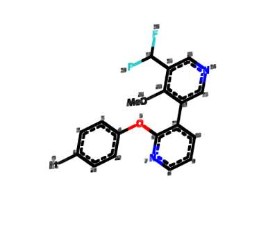 CCc1ccc(Oc2ncccc2-c2cncc(C(F)F)c2OC)cc1